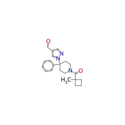 CC1(C(=O)N2CCC(c3ccccc3)(n3cc(C=O)cn3)CC2)CCC1